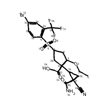 CCOC1CC(S(=O)(=O)c2ccc(Br)cc2C(F)(F)F)CC1(C(=O)O)C1CC1(C#N)C(N)=O